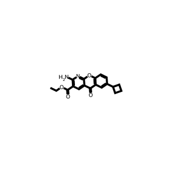 CCOC(=O)c1cc2c(=O)c3cc(C4CCC4)ccc3oc2nc1N